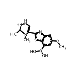 COc1cc(B(O)O)c2sc(C3=CNNC(C)N3C)nc2c1